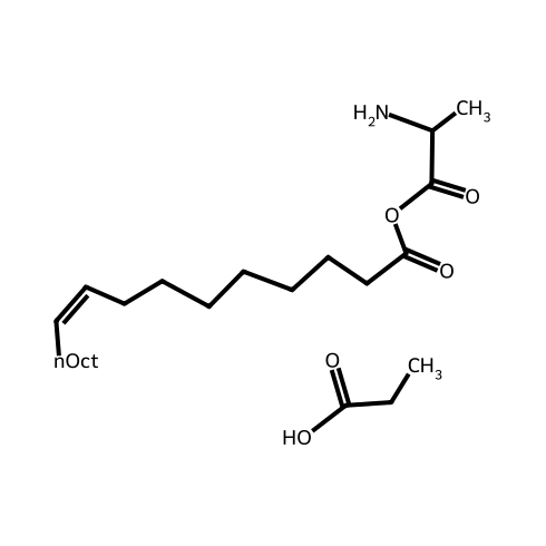 CCC(=O)O.CCCCCCCC/C=C\CCCCCCCC(=O)OC(=O)C(C)N